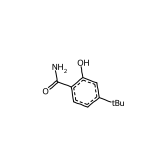 CC(C)(C)c1ccc(C(N)=O)c(O)c1